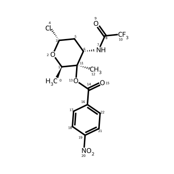 C[C@H]1O[C@H](Cl)C[C@H](NC(=O)C(F)(F)F)[C@@]1(C)OC(=O)c1ccc([N+](=O)[O-])cc1